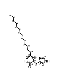 CCCCCCCCCCCCCCC(=O)N[C@@H](Cc1c[nH]cn1)C(=O)O